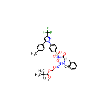 Cc1ccc(-c2cc(C(F)(F)F)nn2-c2ccc(S(=O)(=O)NC(=O)[C@H](Cc3ccccc3)N(C)[N+]([O-])=NOCOC(=O)C(C)(C)C)cc2)cc1